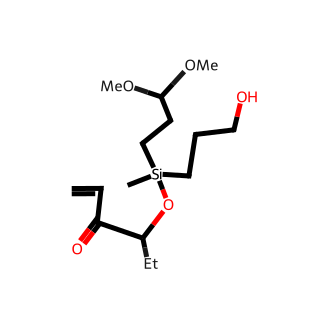 C=CC(=O)C(CC)O[Si](C)(CCCO)CCC(OC)OC